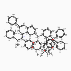 CC1(C)c2ccccc2-c2c(N(c3ccc4c(c3)/C(=C(\c3ccccc3)C(N)c3ccccc3)NC(c3ccccc3)=C4)c3cccc4c3-c3ccccc3C4(c3ccccc3)c3ccccc3)cccc21